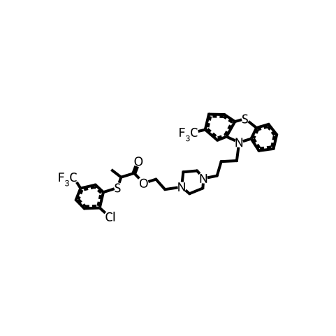 CC(Sc1cc(C(F)(F)F)ccc1Cl)C(=O)OCCN1CCN(CCCN2c3ccccc3Sc3ccc(C(F)(F)F)cc32)CC1